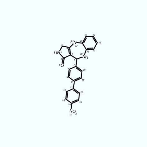 O=C1NCC2=C1C(c1ccc(-c3ccc([N+](=O)[O-])cc3)cc1)Nc1ccccc1N2